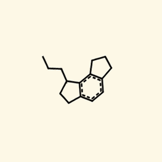 CCC[C]1CCc2ccc3c(c21)CCC3